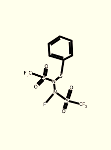 O=S(=O)(N(F)N(Sc1ccccc1)S(=O)(=O)C(F)(F)F)C(F)(F)F